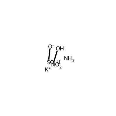 N.O=S(=O)([O-])O.O=[N+]([O-])O.[K+]